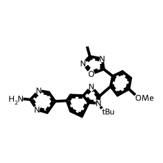 COc1ccc(-c2nc(C)no2)c(-c2nc3cc(-c4cnc(N)nc4)ccc3n2C(C)(C)C)c1